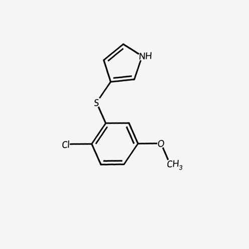 COc1ccc(Cl)c(Sc2cc[nH]c2)c1